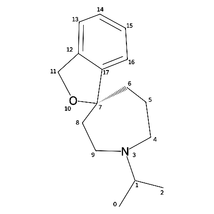 CC(C)N1CCC[C@]2(CC1)OCc1ccccc12